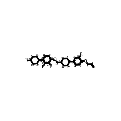 C=CCOc1ccc(C2CCC(COc3ccc(C4CCC(C)CC4)c(F)c3F)CC2)cc1F